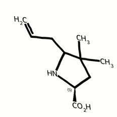 C=CCC1N[C@H](C(=O)O)CC1(C)C